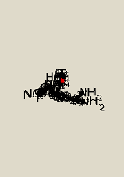 Cc1c(S(=O)(=O)NCP(=O)(O)Oc2ccc(C#N)c(F)c2)sc2ccc(OCCCN(CCCN)CCCN)cc12.O=C(O)C(F)(F)F.O=C(O)C(F)(F)F